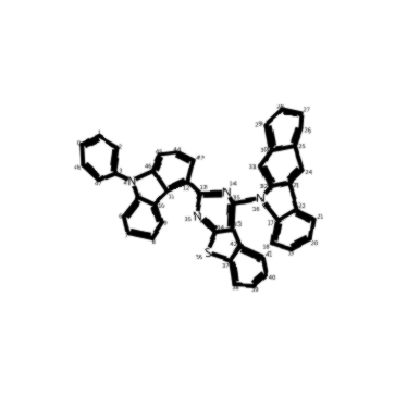 c1ccc(-n2c3ccccc3c3c(-c4nc(-n5c6ccccc6c6cc7ccccc7cc65)c5c(n4)sc4ccccc45)cccc32)cc1